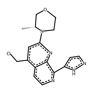 C[C@@H]1COCCN1c1cc(CCl)c2ccnc(-c3ccn[nH]3)c2n1